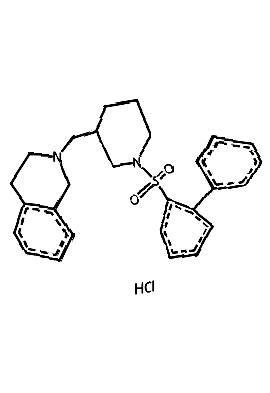 Cl.O=S(=O)(c1ccccc1-c1ccccc1)N1CCCC(CN2CCc3ccccc3C2)C1